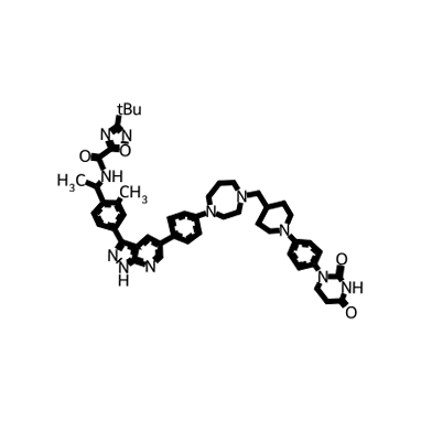 Cc1cc(-c2n[nH]c3ncc(-c4ccc(N5CCCN(CC6CCN(c7ccc(N8CCC(=O)NC8=O)cc7)CC6)CC5)cc4)cc23)ccc1C(C)NC(=O)c1nc(C(C)(C)C)no1